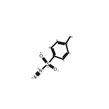 Cc1ccc(S(=O)(=O)[N+]#N)cc1